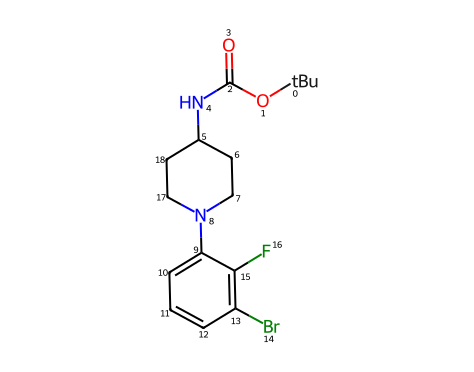 CC(C)(C)OC(=O)NC1CCN(c2cccc(Br)c2F)CC1